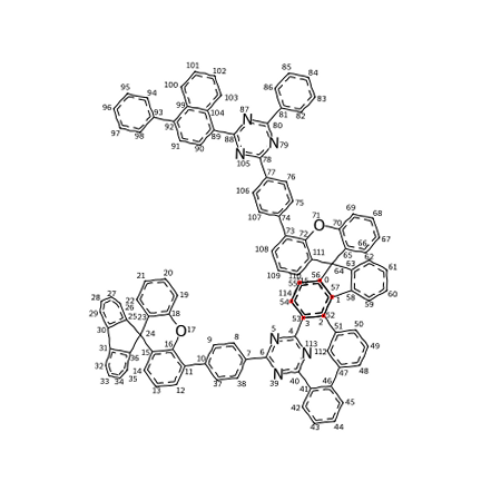 c1ccc(-c2nc(-c3ccc(-c4cccc5c4Oc4ccccc4C54c5ccccc5-c5ccccc54)cc3)nc(-c3ccccc3-c3cccc(-c4cccc5c4-c4ccccc4C54c5ccccc5Oc5c(-c6ccc(-c7nc(-c8ccccc8)nc(-c8ccc(-c9ccccc9)c9ccccc89)n7)cc6)cccc54)c3)n2)cc1